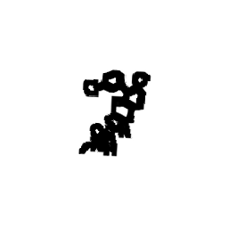 CCNC(=O)Nc1nc(Cc2ccc(OC)c(-c3cccc(Cl)c3)c2F)cs1